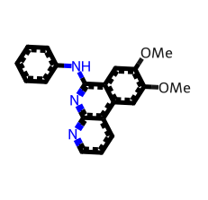 COc1cc2c(Nc3ccccc3)nc3ncccc3c2cc1OC